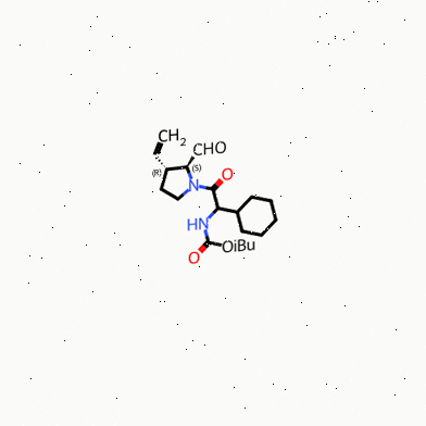 C=C[C@H]1CCN(C(=O)C(NC(=O)OCC(C)C)C2CCCCC2)[C@@H]1C=O